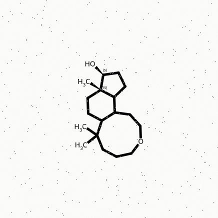 CC1(C)CCCOCCC2C1CC[C@@]1(C)C2CC[C@@H]1O